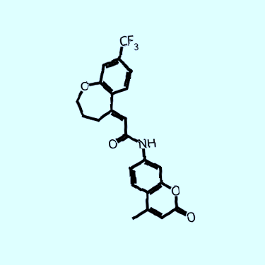 Cc1cc(=O)oc2cc(NC(=O)C=C3CCCOc4cc(C(F)(F)F)ccc43)ccc12